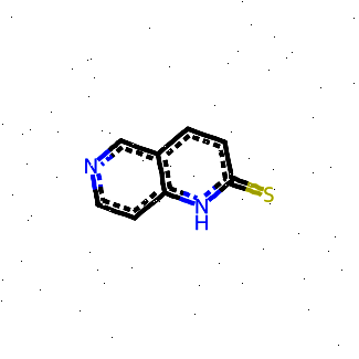 S=c1ccc2cnccc2[nH]1